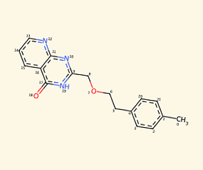 Cc1ccc(CCOCc2nc3ncccc3c(=O)[nH]2)cc1